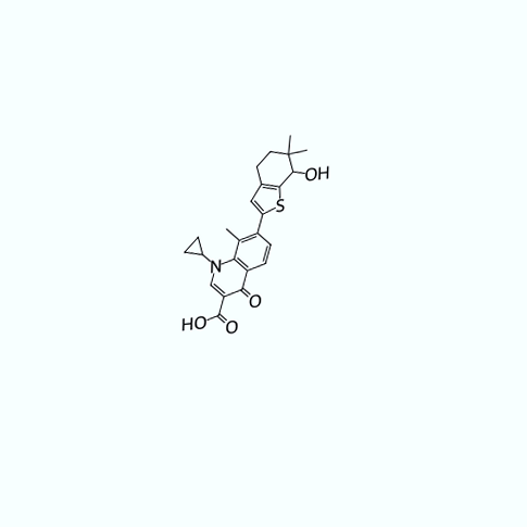 Cc1c(-c2cc3c(s2)C(O)C(C)(C)CC3)ccc2c(=O)c(C(=O)O)cn(C3CC3)c12